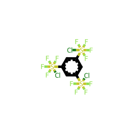 FS(F)(F)(F)(Cl)c1cc(S(F)(F)(F)(F)Cl)cc(S(F)(F)(F)(F)Cl)c1